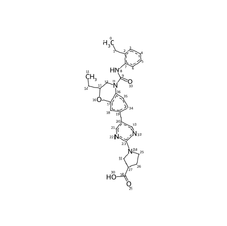 CCc1ccccc1NC(=O)N1CC(CC)Oc2cc(-c3cnc(N4CCC(C(=O)O)C4)nc3)ccc21